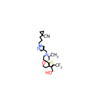 C[C@H]1C[C@@]2(CCN1Cc1cnn(CCCC3(C#N)CC3)c1)OCCc1c2sc(C(F)(F)F)c1CO